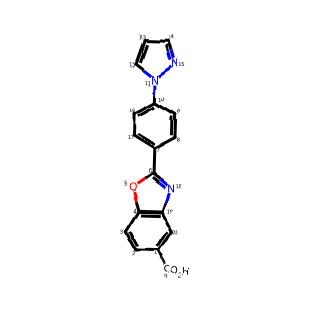 O=C(O)c1ccc2oc(-c3ccc(-n4cccn4)cc3)nc2c1